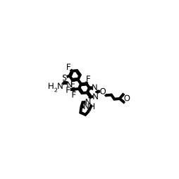 Nc1nc2c(-c3c(C(F)(F)F)cc4c(N5CC6CCC(C5)N6)nc(OCCCC5COC5)nc4c3F)ccc(F)c2s1